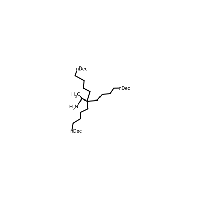 CCCCCCCCCCCCCCC(CCCCCCCCCCCCCC)(CCCCCCCCCCCCCC)C(C)N